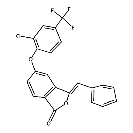 O=C1OC(=Cc2ccccc2)c2cc(Oc3ccc(C(F)(F)F)cc3Cl)ccc21